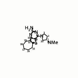 CN[C@H]1CCN(c2nc(N)nc3c4c(sc23)CCCCC4)C1